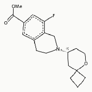 COC(=O)c1cc(F)c2c(c1)CCN([C@@H]1CCOC3(CCC3)C1)C2